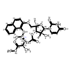 CCC(=O)O[C@H]1[C@@](C)(F)[C@H](n2ccc(=O)[nH]c2=O)O[C@]1(F)COc1ccc2ccccc2c1O/[P+]([O-])=N/[C@@H](C)C(=O)OC(C)C